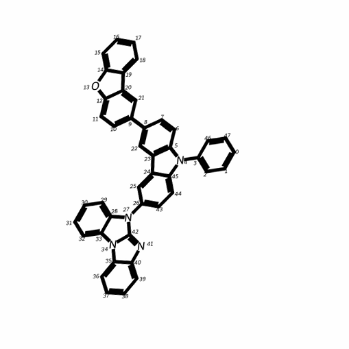 c1ccc(-n2c3ccc(-c4ccc5oc6ccccc6c5c4)cc3c3cc(-n4c5ccccc5n5c6ccccc6nc45)ccc32)cc1